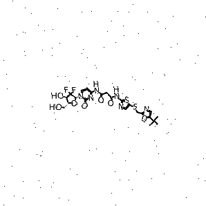 CC(C)(C)c1cnc(CSc2cnc(NC(=O)CC(=O)Nc3ccn([C@@H]4O[C@H](CO)[C@@H](O)C4(F)F)c(=O)n3)s2)o1